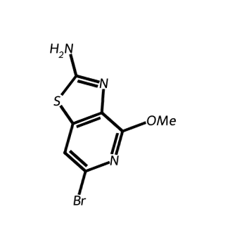 COc1nc(Br)cc2sc(N)nc12